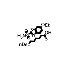 CCCCCCCCCCCCCCCC(O)=S.CCOc1ccc2nc(S(N)(=O)=O)sc2c1